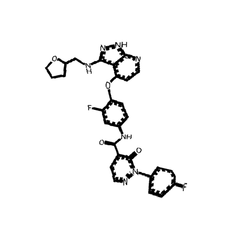 O=C(Nc1ccc(Oc2ccnc3[nH]nc(NCC4CCCO4)c23)c(F)c1)c1ccnn(-c2ccc(F)cc2)c1=O